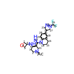 CC(=O)N1CCC(NC2COC2)=C(C(=N)N2CCCc3cc(C4C=NN(C(F)F)C4)ccc32)C1